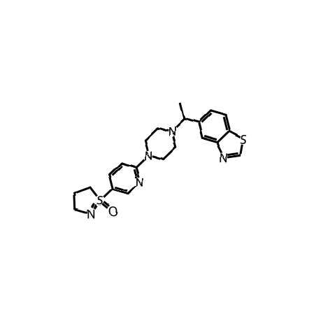 CC(c1ccc2scnc2c1)N1CCN(c2ccc(S3(=O)=NCCC3)cn2)CC1